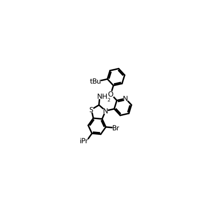 CC(C)c1cc(Br)c2c(c1)SC(N)N2c1cccnc1Oc1ccccc1C(C)(C)C